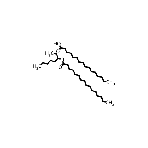 CCCCCCCCCCCCCCCC(=O)O.CCCCCCCCCCCCCCCC(=O)OC(CC)CCCCC